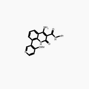 CCCNC(=O)c1c(N)c2cccc(-c3cnccc3OC)c2[nH]c1=O